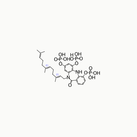 CC(C)=CCC/C(C)=C/CC/C(C)=C/CN1C(=O)c2cccc(OP(=O)(O)O)c2Nc2c(OP(=O)(O)O)cc(OP(=O)(O)O)cc21